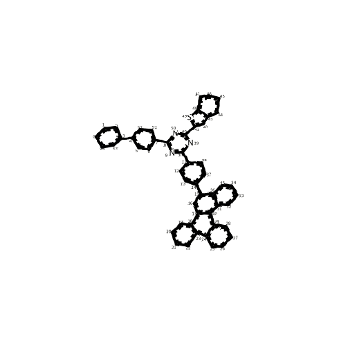 c1ccc(-c2ccc(-c3nc(-c4ccc(-c5cc6c7ccccc7c7ccccc7c6c6ccccc56)cc4)nc(-c4cc5ccccc5s4)n3)cc2)cc1